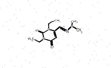 CCn1c(/C=N/N(C)C)cc(=O)n(CC)c1=O